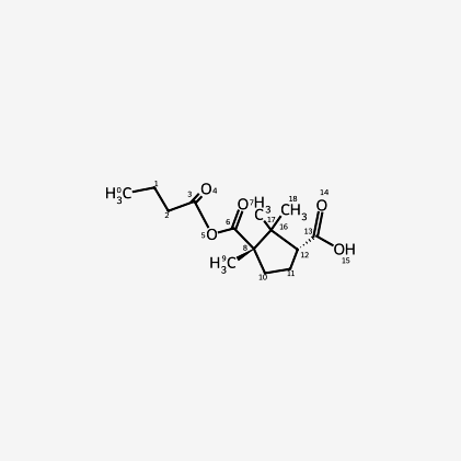 CCCC(=O)OC(=O)[C@@]1(C)CC[C@@H](C(=O)O)C1(C)C